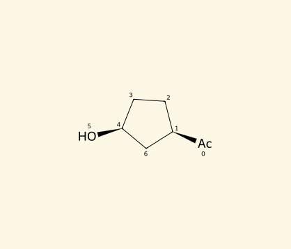 CC(=O)[C@@H]1CC[C@H](O)C1